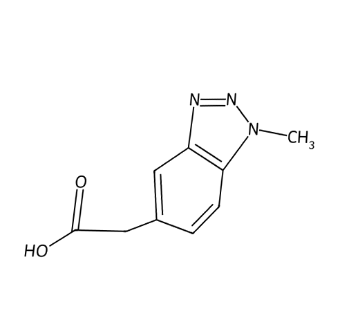 Cn1nnc2cc(CC(=O)O)ccc21